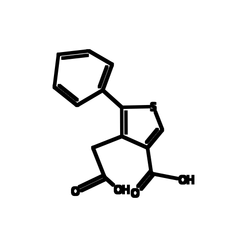 O=C(O)Cc1c(C(=O)O)csc1-c1ccccc1